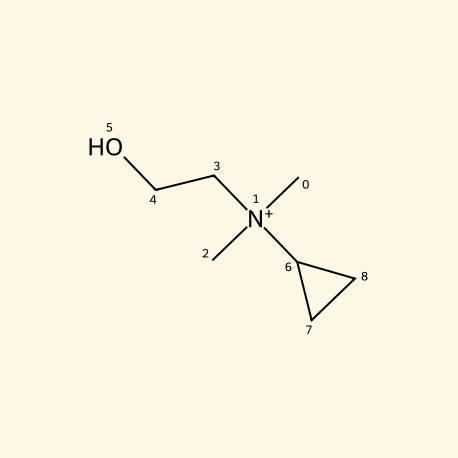 C[N+](C)(CCO)C1CC1